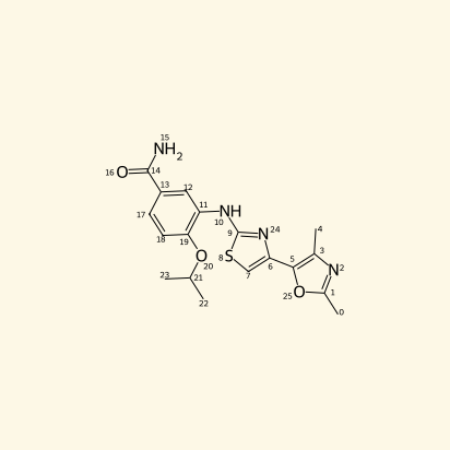 Cc1nc(C)c(-c2csc(Nc3cc(C(N)=O)ccc3OC(C)C)n2)o1